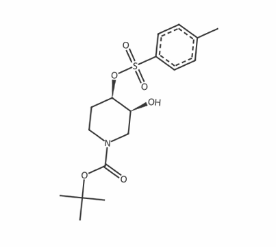 Cc1ccc(S(=O)(=O)O[C@@H]2CCN(C(=O)OC(C)(C)C)C[C@@H]2O)cc1